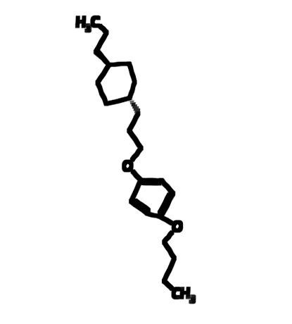 CCCCOc1ccc(OCCC[C@H]2CC[C@H](CCC)CC2)cc1